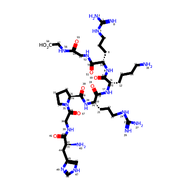 N=C(N)NCCC[C@H](NC(=O)[C@H](CCCCN)NC(=O)[C@H](CCCNC(=N)N)NC(=O)[C@@H]1CCCN1C(=O)CNC(=O)[C@@H](N)Cc1c[nH]cn1)C(=O)NCC(=O)NCC(=O)O